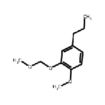 CCCc1ccc(OC)c(OCOC)c1